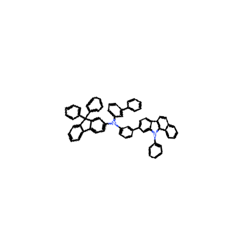 c1ccc(-c2cccc(N(c3cccc(-c4ccc5c6ccc7ccccc7c6n(-c6ccccc6)c5c4)c3)c3ccc4c(c3)C(c3ccccc3)(c3ccccc3)c3ccccc3-4)c2)cc1